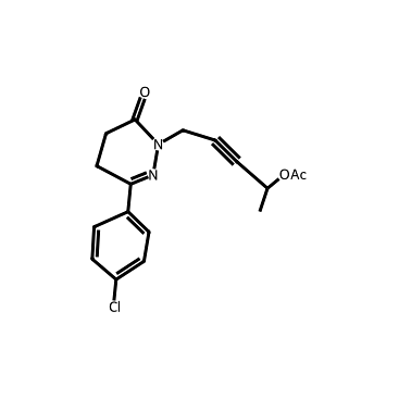 CC(=O)OC(C)C#CCN1N=C(c2ccc(Cl)cc2)CCC1=O